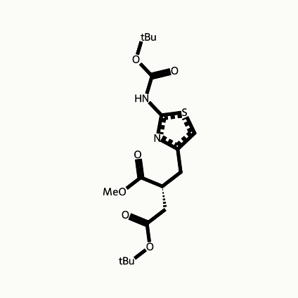 COC(=O)[C@@H](CC(=O)OC(C)(C)C)Cc1csc(NC(=O)OC(C)(C)C)n1